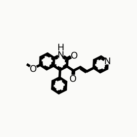 COc1ccc2[nH]c(=O)c(C(=O)C=Cc3ccncc3)c(-c3ccccc3)c2c1